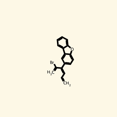 C=C/C=C(\C(=C)Br)c1ccc2oc3ccccc3c2c1